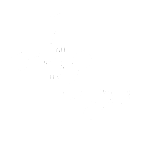 Cc1ccc(-c2cccc3c2oc2ccccc23)cc1-c1ccccc1NC1N=C(c2ccccc2)CC(c2ccccc2)N1